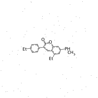 CCc1ccc(-c2cc3c(CC)cc(PC)cc3oc2=O)cc1